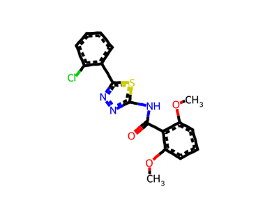 COc1cccc(OC)c1C(=O)Nc1nnc(-c2ccccc2Cl)s1